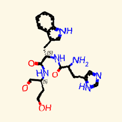 NC(Cc1cnc[nH]1)C(=O)N[C@@H](Cc1c[nH]c2ccccc12)C(=O)N[C@H](C=O)CCO